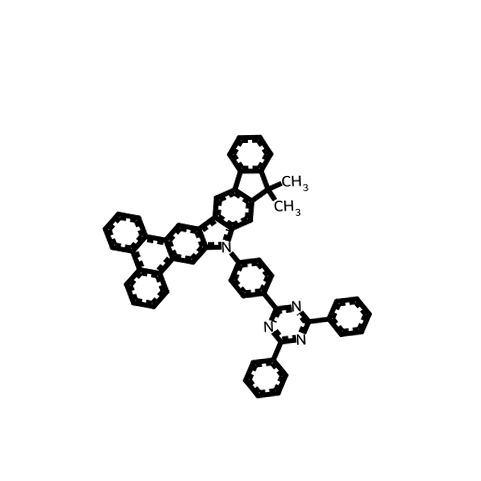 CC1(C)c2ccccc2-c2cc3c4cc5c6ccccc6c6ccccc6c5cc4n(-c4ccc(-c5nc(-c6ccccc6)nc(-c6ccccc6)n5)cc4)c3cc21